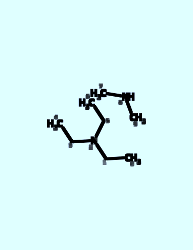 CCN(CC)CC.CNC